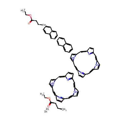 C1=Cc2cc3ccc(cc4nc(cc5ccc(cc1n2)[nH]5)C=C4)[nH]3.C1=Cc2cc3ccc(cc4nc(cc5ccc(cc1n2)[nH]5)C=C4)[nH]3.CCCC(=O)OCC.CCCC(=O)OCC.[Zn].[Zn].c1ccc2ccccc2c1.c1ccc2ccccc2c1